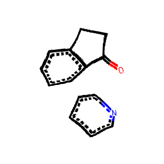 O=C1CCc2ccccc21.c1ccncc1